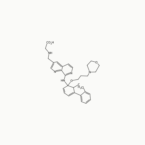 CC1C(c2ccccc2Cl)=CC=CC1(Nc1nccc2cc(CNCC(=O)O)cnc12)OCCCN1CCOCC1